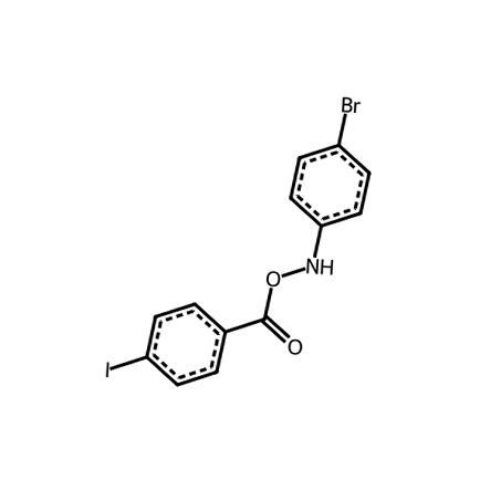 O=C(ONc1ccc(Br)cc1)c1ccc(I)cc1